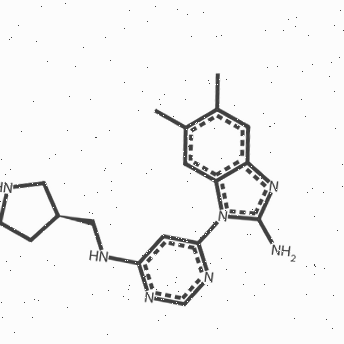 Cc1cc2nc(N)n(-c3cc(NC[C@H]4CCNC4)ncn3)c2cc1C